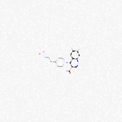 COc1cc2ncc(C(N)=O)c(N3CCC(CCNS(N)(=O)=O)CC3)c2cc1OC